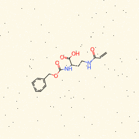 C=CC(=O)NCCC(NC(=O)OCc1ccccc1)C(=O)O